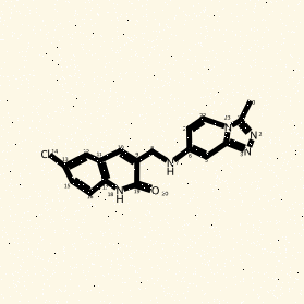 Cc1nnc2cc(NCc3cc4cc(Cl)ccc4[nH]c3=O)ccn12